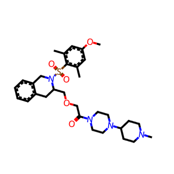 COc1cc(C)c(S(=O)(=O)N2Cc3ccccc3CC2COCC(=O)N2CCN(C3CCN(C)CC3)CC2)c(C)c1